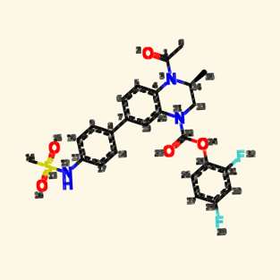 CC(=O)N1c2ccc(-c3ccc(NS(C)(=O)=O)cc3)cc2N(C(=O)Oc2ccc(F)cc2F)C[C@@H]1C